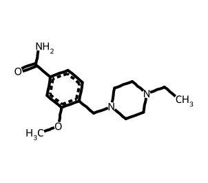 CCN1CCN(Cc2ccc(C(N)=O)cc2OC)CC1